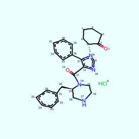 Cl.O=C1CCCC[C@H]1n1cnc(C(=O)N2CCNC[C@H]2Cc2ccccc2)c1-c1ccccc1